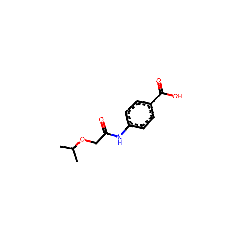 CC(C)OCC(=O)Nc1ccc(C(=O)O)cc1